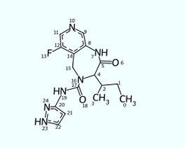 CCC(C)C1C(=O)Nc2cncc(F)c2CN1C(=O)Nc1cc[nH]n1